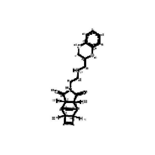 O=C1[C@@H]2C3C=CC([C@H]4C=C[C@@H]34)[C@@H]2C(=O)N1CCNCC1COc2ccccc2O1